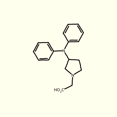 O=C(O)CN1CCC(N(c2ccccc2)c2ccccc2)C1